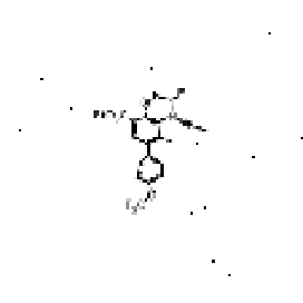 CC#CN(c1c(C)c(-c2ccc(OC(F)(F)F)cc2)cc(C(=O)OCC)c1Br)C(F)F